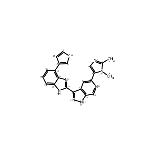 Cc1ncc(-c2cc3c(-c4nc5c(-c6ccsc6)cccc5[nH]4)n[nH]c3cn2)n1C